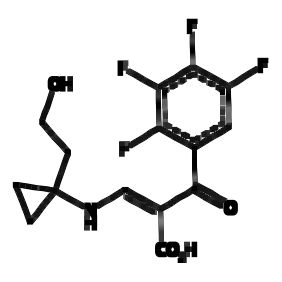 O=C(O)C(=CNC1(CCO)CC1)C(=O)c1cc(F)c(F)c(F)c1F